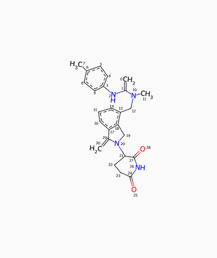 C=C(Nc1ccc(C)cc1)N(C)Cc1cccc2c1CN(C1CCC(=O)NC1=O)C2=C